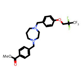 COC(=O)c1ccc(CN2CCCN(Cc3ccc(OCC(F)(F)C(F)(F)F)cc3)CC2)cc1